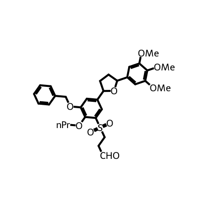 CCCOc1c(OCc2ccccc2)cc(C2CCC(c3cc(OC)c(OC)c(OC)c3)O2)cc1S(=O)(=O)CCC=O